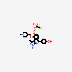 COc1ccc2c(-c3ccc(O)cc3)nc3[nH]nc(C)c3c2c1OCC1CCN(C)CC1.O=C(O)C(F)(F)F